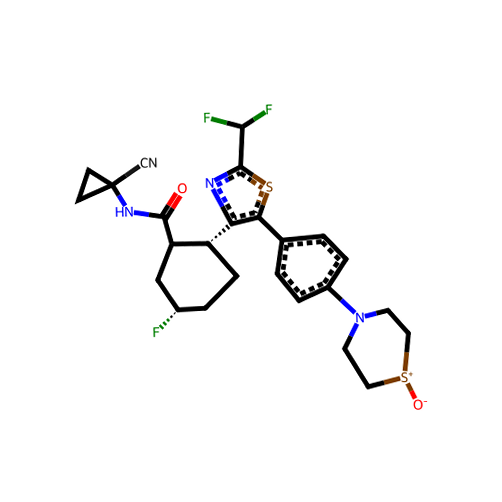 N#CC1(NC(=O)C2C[C@@H](F)CC[C@H]2c2nc(C(F)F)sc2-c2ccc(N3CC[S+]([O-])CC3)cc2)CC1